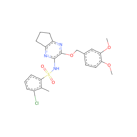 COc1ccc(COc2nc3c(nc2NS(=O)(=O)c2cccc(Cl)c2C)CCC3)cc1OC